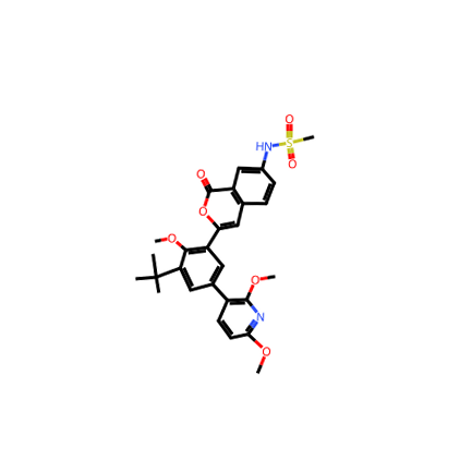 COc1ccc(-c2cc(-c3cc4ccc(NS(C)(=O)=O)cc4c(=O)o3)c(OC)c(C(C)(C)C)c2)c(OC)n1